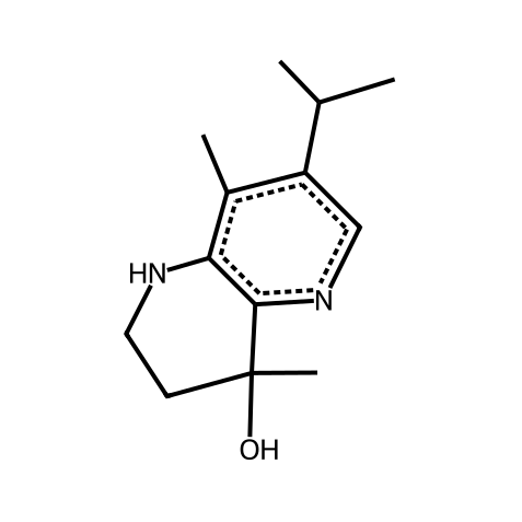 Cc1c(C(C)C)cnc2c1NCCC2(C)O